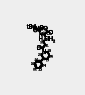 COC(=O)[C@@H](NC(=O)OC(C)(C)C)[SiH2]CCC(=O)N1CCCC(c2ccccc2)C1